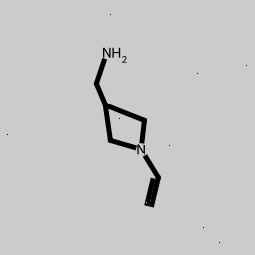 C=CN1CC(CN)C1